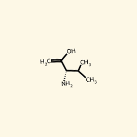 C=C(O)[C@@H](N)C(C)C